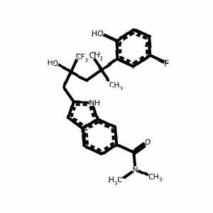 CN(C)C(=O)c1ccc2cc(CC(O)(CC(C)(C)c3cc(F)ccc3O)C(F)(F)F)[nH]c2c1